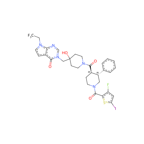 O=C(c1sc(I)cc1F)N1CC[C@@H](C(=O)N2CCC(O)(Cn3cnc4c(ccn4CC(F)(F)F)c3=O)CC2)[C@H](c2ccccc2)C1